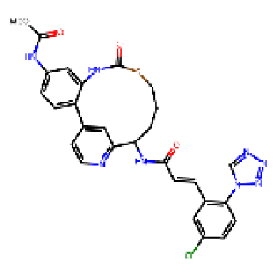 COC(=O)Nc1ccc2c(c1)NC(=O)SCCCC(NC(=O)/C=C/c1cc(Cl)ccc1-n1cnnn1)c1cc-2ccn1